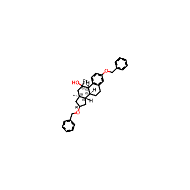 CC[C@]1(O)C[C@]2(C)C[C@H](OCc3ccccc3)C[C@H]2[C@@H]2CCc3cc(OCc4ccccc4)ccc3[C@H]21